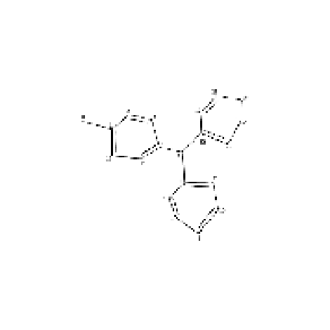 Cc1ccc(C(c2[c]cccc2)c2ccccc2)cc1